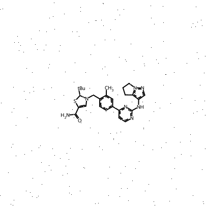 Cc1cc(-c2ccnc(Nc3cnn4c3CCC4)n2)ccc1CN1C=C(C(N)=O)SC1C(C)(C)C